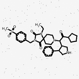 CCN1C(=O)N(Cc2ccc(S(C)(=O)=O)cc2)C(=O)C12CCN(C(C(=O)C1CCCC1)C1CNCC1c1ccccc1)CC2